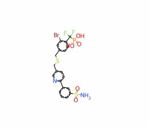 NS(=O)(=O)c1cccc(-c2ccc(CSCc3ccc(C(F)(F)P(=O)(O)O)c(Br)c3)cn2)c1